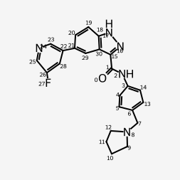 O=C(Nc1ccc(CN2CCCC2)cc1)c1n[nH]c2ccc(-c3cncc(F)c3)cc12